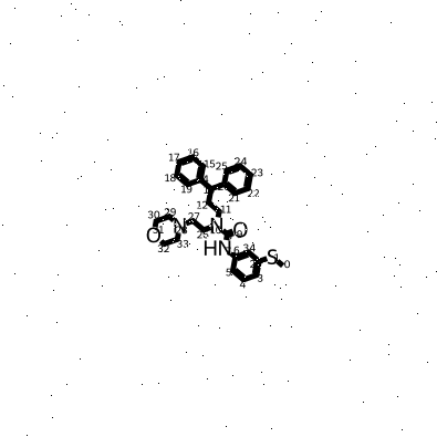 CSc1cccc(NC(=O)N(CCC(c2ccccc2)c2ccccc2)CCN2CCOCC2)c1